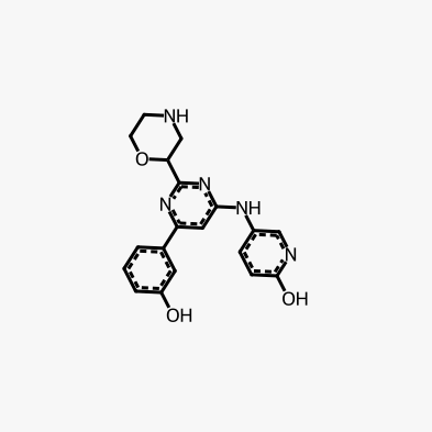 Oc1cccc(-c2cc(Nc3ccc(O)nc3)nc(C3CNCCO3)n2)c1